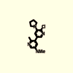 CNc1cnc(C)c(-c2cnc(Cl)c(N3CCCC3)c2)c1